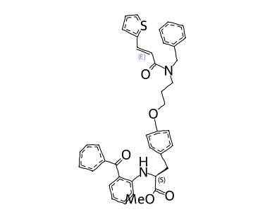 COC(=O)[C@H](Cc1ccc(OCCCN(Cc2ccccc2)C(=O)/C=C/c2cccs2)cc1)Nc1ccccc1C(=O)c1ccccc1